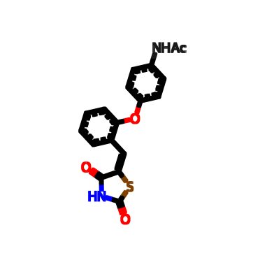 CC(=O)Nc1ccc(Oc2ccccc2/C=C2/SC(=O)NC2=O)cc1